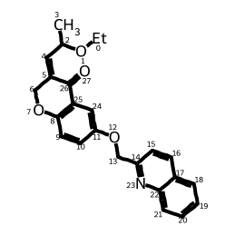 CCOC(C)C=C1COc2ccc(OCc3ccc4ccccc4n3)cc2C1=O